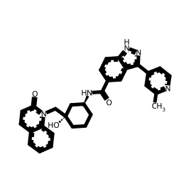 Cc1cc(-c2n[nH]c3ccc(C(=O)N[C@H]4CCC[C@@](O)(Cn5c(=O)ccc6ccccc65)C4)cc23)ccn1